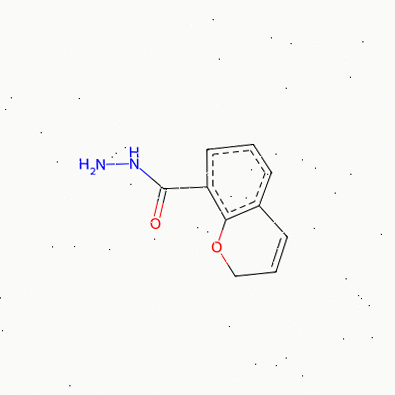 NNC(=O)c1cccc2c1OCC=C2